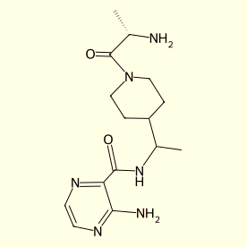 CC(NC(=O)c1nccnc1N)C1CCN(C(=O)[C@H](C)N)CC1